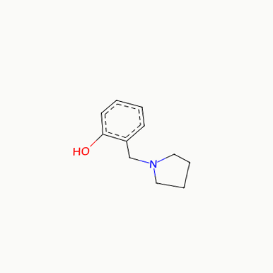 Oc1ccccc1CN1CCCC1